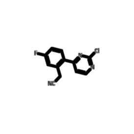 N#CCc1cc(F)ccc1-c1ccnc(Cl)n1